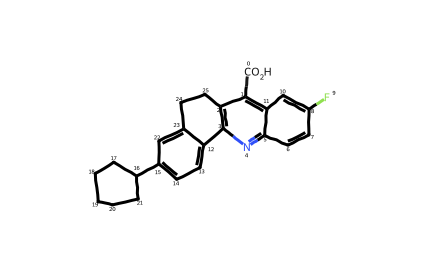 O=C(O)c1c2c(nc3ccc(F)cc13)-c1ccc(C3CCCCC3)cc1CC2